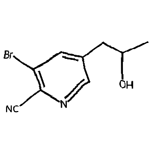 CC(O)Cc1cnc(C#N)c(Br)c1